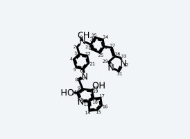 CN(Cc1ccc(N=Cc2c(O)nc3ccccc3c2O)cc1)c1ccc(C=C2C=NC=NC2)cc1